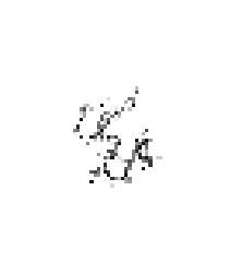 CO[C@@H]1CCCC[C@H]1Oc1cc(F)ccc1[N+](=O)[O-]